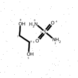 NS(N)(=O)=O.OCCO